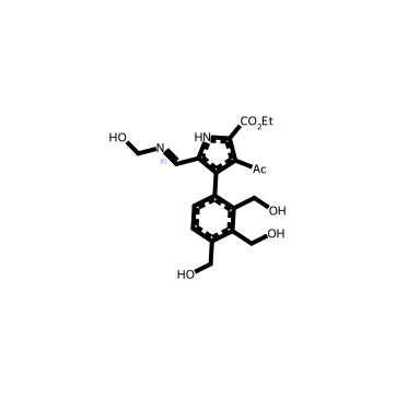 CCOC(=O)c1[nH]c(/C=N/CO)c(-c2ccc(CO)c(CO)c2CO)c1C(C)=O